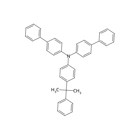 CC(C)(c1ccccc1)c1ccc(N(c2ccc(-c3ccccc3)cc2)c2ccc(-c3ccccc3)cc2)cc1